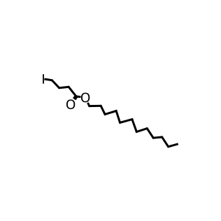 CCCCCCCCCCCCOC(=O)CCCI